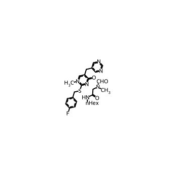 CCCCCCNC(=O)CN(C)C=O.Cn1cc(Cc2cncnc2)c(=O)nc1SCc1ccc(F)cc1